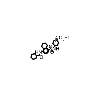 CCOC(=O)N1CCC(NS(=O)(=O)c2ccc(NC(=O)C3CCCCC3)c3c2CCCC3)CC1